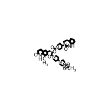 Cc1cc(C[C@@H](OC(=O)N2CCC(N3CCc4ccccc4NC3=O)CC2)C(=O)N2CCC(N3CCN(S(C)(=O)=O)CC3)CC2)cc2ccc(=O)[nH]c12